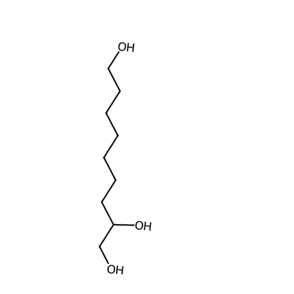 OCCCCCCCC(O)CO